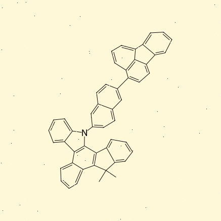 CC1(C)c2ccccc2-c2c1c1ccccc1c1c3ccccc3n(-c3ccc4cc(-c5ccc6c7c(cccc57)-c5ccccc5-6)ccc4c3)c21